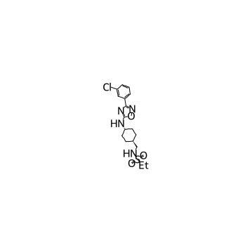 CCS(=O)(=O)NC[C@H]1CC[C@H](Nc2nc(-c3cccc(Cl)c3)no2)CC1